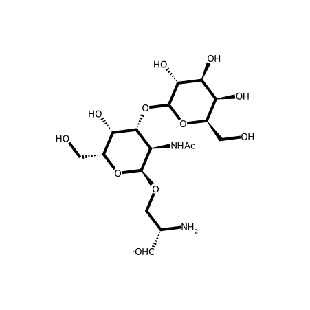 CC(=O)N[C@H]1[C@@H](OC[C@H](N)[C]=O)O[C@H](CO)[C@H](O)[C@@H]1OC1O[C@H](CO)[C@H](O)[C@H](O)[C@H]1O